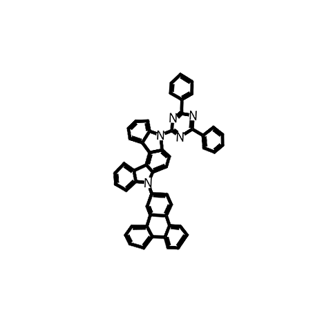 c1ccc(-c2nc(-c3ccccc3)nc(-n3c4ccccc4c4c5c6ccccc6n(-c6ccc7c8ccccc8c8ccccc8c7c6)c5ccc43)n2)cc1